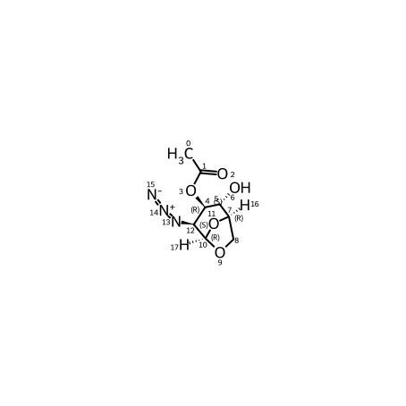 CC(=O)O[C@H]1[C@H](O)[C@H]2CO[C@H](O2)[C@H]1N=[N+]=[N-]